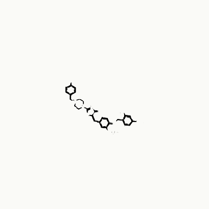 COc1cc(C=C2SC(N3CCN(Cc4ccc(Cl)cc4)CC3)=NC2=O)ccc1OCc1ccc(C(F)(F)F)cc1C(F)(F)F